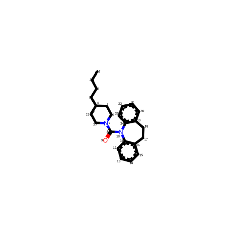 CCCCC1CCN(C(=O)N2c3ccccc3CCc3ccccc32)CC1